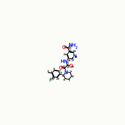 Cc1ccc([C@@H]2CCCCN2C(=O)C(=O)Nc2cncc(C(N)=O)c2)cc1F